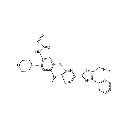 C=CC(=O)Nc1cc(Nc2nccc(-n3cc(CN)c(-c4ccccc4)n3)n2)c(OC)cc1N1CCOCC1